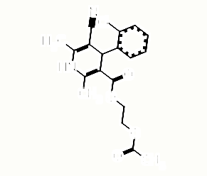 CC(=O)OCCOC(=O)C1=C(C)NC(C)=C(C#N)C1c1ccccc1Cl